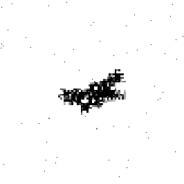 CC(C)(C)OC(=O)N[C@H]1CC(F)(F)c2cc(F)c(-c3nnc(C(C)(C)C#N)o3)cc2N(Cc2ccc(-n3cc(OC(F)(F)F)cn3)cc2)C1=O